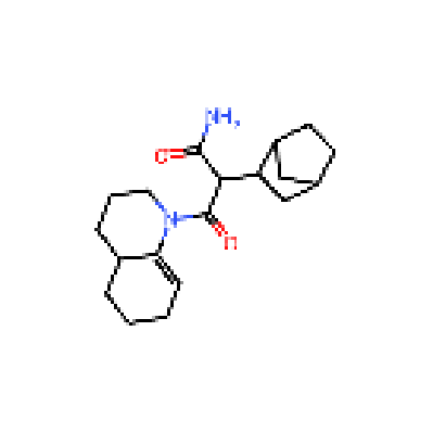 NC(=O)C(C(=O)N1CCCC2CCCC=C21)C1CC2CCC1C2